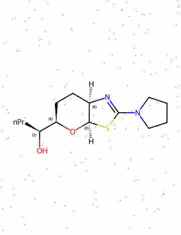 CCC[C@H](O)[C@H]1CC[C@H]2N=C(N3CCCC3)S[C@H]2O1